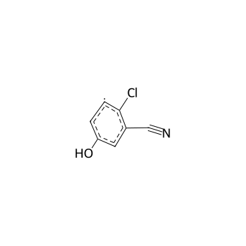 N#Cc1cc(O)c[c]c1Cl